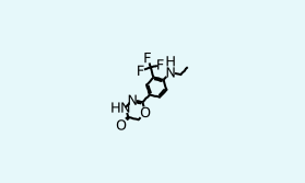 CCNc1ccc(C2=NNC(=O)CO2)cc1C(F)(F)F